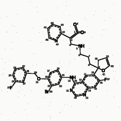 O=S(=O)=C(CNCCCC1(c2cc3c(Nc4ccc(OCc5cccc(F)c5)c(Br)c4)ncnc3cc2F)CC=CO1)c1ccccn1